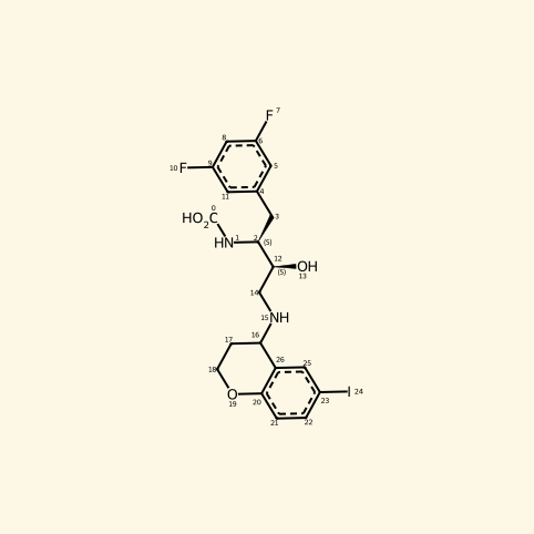 O=C(O)N[C@@H](Cc1cc(F)cc(F)c1)[C@@H](O)CNC1CCOc2ccc(I)cc21